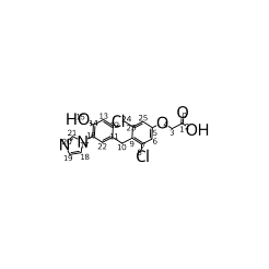 O=C(O)COc1cc(Cl)c(Cc2ccc(O)c(-n3ccnc3)c2)c(Cl)c1